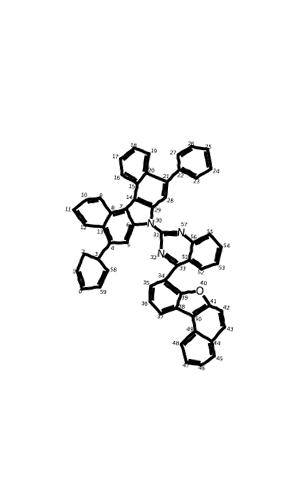 C1=CCC(c2cc3c(c4ccccc24)c2c4ccccc4c(-c4ccccc4)cc2n3-c2nc(-c3cccc4c3oc3ccc5ccccc5c34)c3ccccc3n2)C=C1